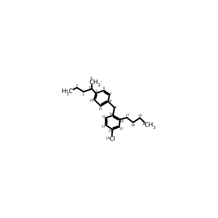 [CH2]C(CCC)c1ccc(Cc2ccc(Cl)cc2CCCC)cc1